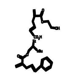 C=C(CC=CC(=O)O)C(=O)OCCO.C=C(CC=Cc1ccccc1)C(=O)OCC(CC)CCCC